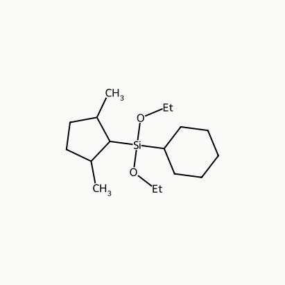 CCO[Si](OCC)(C1CCCCC1)C1C(C)CCC1C